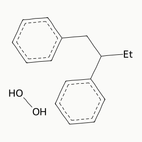 CCC(Cc1ccccc1)c1ccccc1.OO